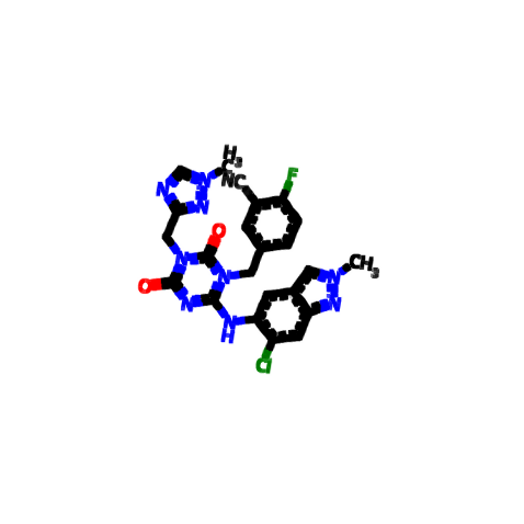 Cn1cnc(Cn2c(=O)nc(Nc3cc4cn(C)nc4cc3Cl)n(Cc3ccc(F)c(C#N)c3)c2=O)n1